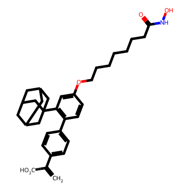 C=C(C(=O)O)c1ccc(-c2ccc(OCCCCCCCC(=O)NO)cc2C23CC4CC(CC(C4)C2)C3)cc1